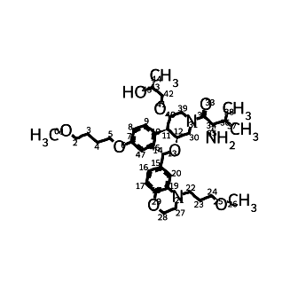 COCCCCOc1ccc([C@@H]2[C@@H](OCc3ccc4c(c3)N(CCCOC)CCO4)CN(C(=O)[C@@H](N)C(C)C)C[C@H]2OC[C@@H](C)O)cc1